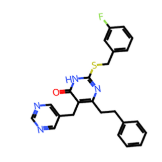 O=c1[nH]c(SCc2cccc(F)c2)nc(CCc2ccccc2)c1Cc1cncnc1